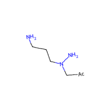 CC(=O)CN(N)CCCN